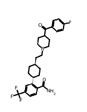 NC(=O)c1ccc(C(F)(F)F)cc1[C@H]1CC[C@H](CCN2CCC(C(=O)c3ccc(F)cc3)CC2)CC1